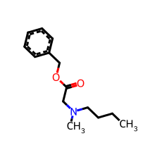 CCCCN(C)CC(=O)OCc1ccccc1